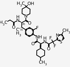 CCC(=O)N[C@@H](C(=O)N1CCC(C)(O)CC1)[C@@H](C)c1ccc(NC(=O)C(NC(=O)C(F)(F)c2nc(C)cs2)=C2CCC(C)CC2)c(F)c1